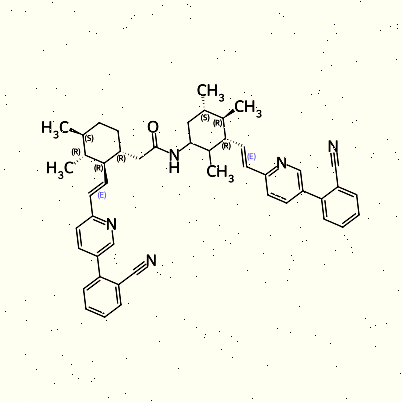 CC1C(NC(=O)C[C@H]2CC[C@H](C)[C@@H](C)[C@@H]2/C=C/c2ccc(-c3ccccc3C#N)cn2)C[C@H](C)[C@@H](C)[C@@H]1/C=C/c1ccc(-c2ccccc2C#N)cn1